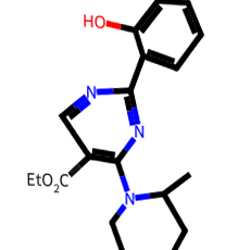 CCOC(=O)c1cnc(-c2ccccc2O)nc1N1CCCCC1C